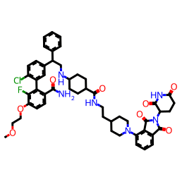 COCCOc1ccc(C(N)=O)c(-c2cc(C(CNC3CCC(C(=O)NCCC4CCN(c5cccc6c5C(=O)N(C5CCC(=O)NC5=O)C6=O)CC4)CC3)c3ccccc3)ccc2Cl)c1F